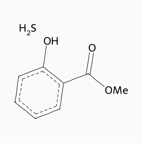 COC(=O)c1ccccc1O.S